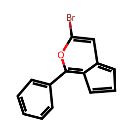 Brc1cc2cccc-2c(-c2ccccc2)o1